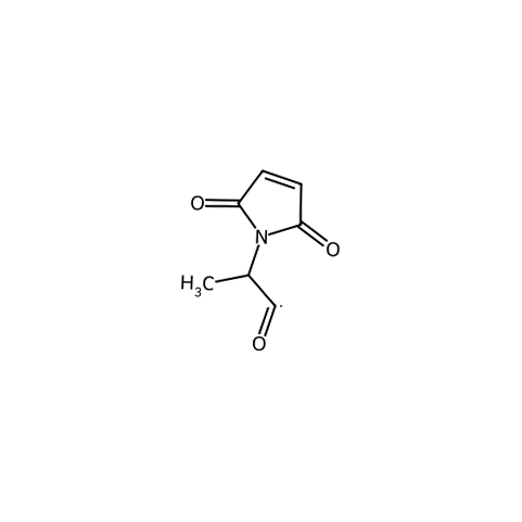 CC([C]=O)N1C(=O)C=CC1=O